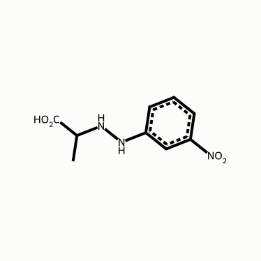 CC(NNc1cccc([N+](=O)[O-])c1)C(=O)O